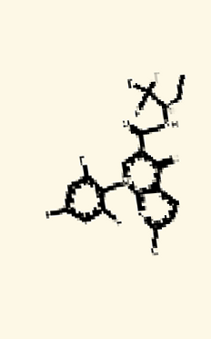 CC[C@@H](NC(=O)c1cn(-c2c(F)cc(F)cc2F)c2nc(Cl)ccc2c1=O)C(F)(F)F